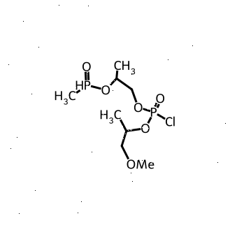 COCC(C)OP(=O)(Cl)OCC(C)O[PH](C)=O